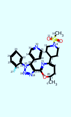 C[C@@H]1CC=C(C2CCN(S(C)(=O)=O)CC2)N=C(c2nnn(-c3ccccc3F)c2-c2ccncc2)O1